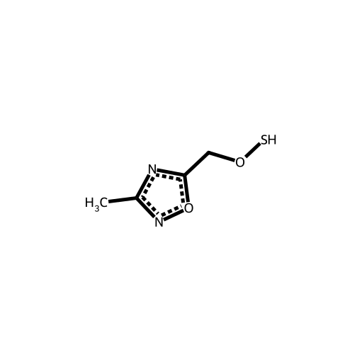 Cc1noc(COS)n1